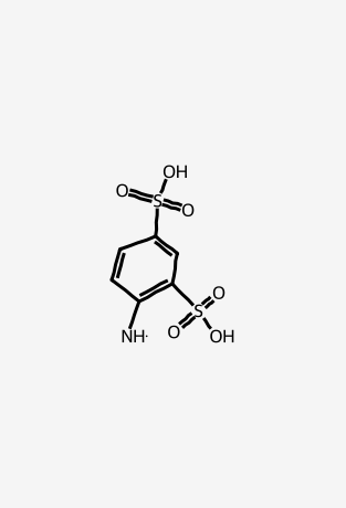 [NH]c1ccc(S(=O)(=O)O)cc1S(=O)(=O)O